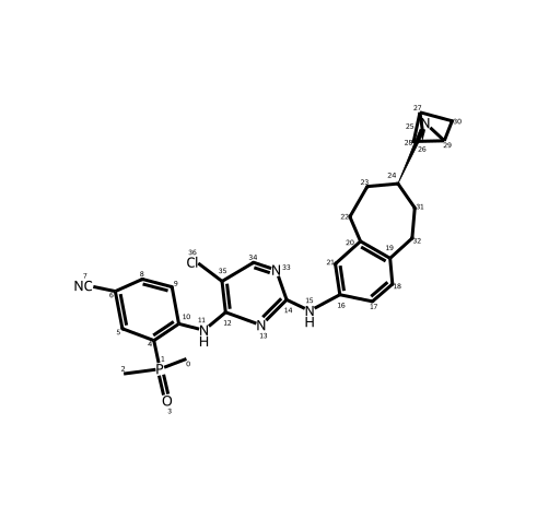 CP(C)(=O)c1cc(C#N)ccc1Nc1nc(Nc2ccc3c(c2)CC[C@@H](N2CC4CC2C4)CC3)ncc1Cl